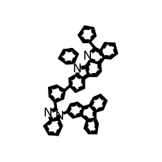 c1ccc(-c2nc3c(ccc4c5ccc(-c6cccc(-c7nc8ccccc8n7-c7ccc8c9ccccc9c9ccccc9c8c7)c6)cc5n(-c5ccccc5)c43)c3ccccc23)cc1